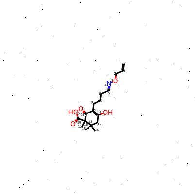 C=CCON=CCCCC1=C(O)CC(C)(C)C(C)(C(=O)O)C1=O